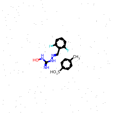 Cc1ccc(S(=O)(=O)O)cc1.N=C(NO)NN=Cc1c(F)cccc1F